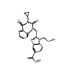 COC(=O)c1ccc2c(c1)nc(Cn1c(=O)n(C3CC3)c(=O)c3ccccc31)n2CCC(C)C